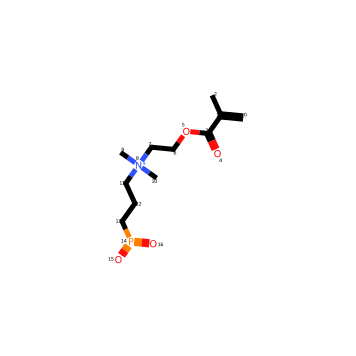 C=C(C)C(=O)OCC[N+](C)(C)CCCP(=O)=O